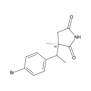 CC(c1ccc(Br)cc1)[C@@]1(C)CC(=O)NC1=O